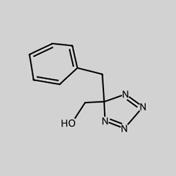 OCC1(Cc2ccccc2)N=NN=N1